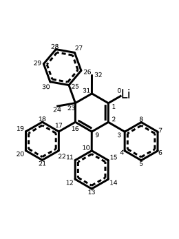 [Li][C]1=C(c2ccccc2)C(c2ccccc2)=C(c2ccccc2)C(C)(c2ccccc2)C1C